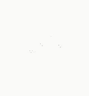 CC[C@](NCc1ccccc1OC)(NC1CCCCC1)c1ccccc1